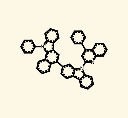 c1ccc(-c2cc(-n3c4ccccc4c4ccc(-c5cc6c7ccccc7n(-c7ccccc7)c6c6ccccc56)cc43)nc3ccccc23)cc1